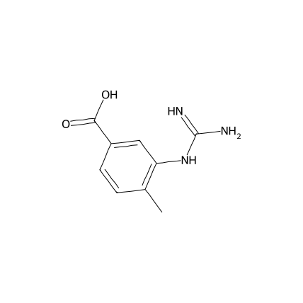 Cc1ccc(C(=O)O)cc1NC(=N)N